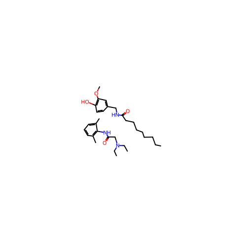 CCCCCCCCC(=O)NCc1ccc(O)c(OC)c1.CCN(CC)CC(=O)Nc1c(C)cccc1C